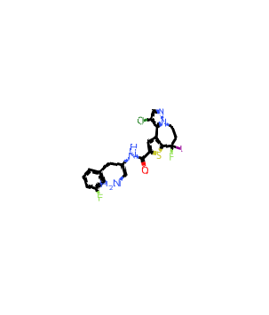 NCC(Cc1cccc(F)c1)NC(=O)c1cc2c(s1)C(F)(I)CCn1ncc(Cl)c1-2